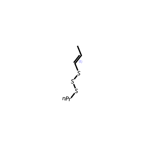 C/C=C/SSSCCC